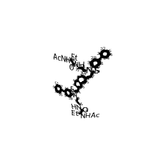 CCC(NC(C)=O)C(=O)NCCCN1/C(=C/C2=CC3=C/C(=C/c4sc5cc(-c6ccccc6)ccc5[n+]4CCCNC(=O)C(CC)NC(C)=O)CCC3CC2)Sc2cc(-c3ccccc3)ccc21